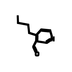 CCCCc1ccncc1C=O